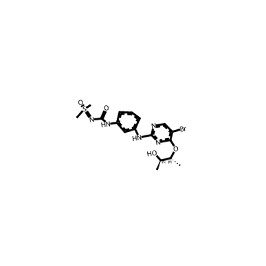 C[C@@H](O)[C@@H](C)Oc1nc(Nc2cccc(NC(=O)N=S(C)(C)=O)c2)ncc1Br